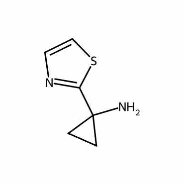 NC1(c2nccs2)CC1